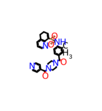 Cc1cc(C(=O)N2CCN(C(=O)c3ccncc3)CC2)ccc1NS(=O)(=O)C1=CCCc2cccnc21